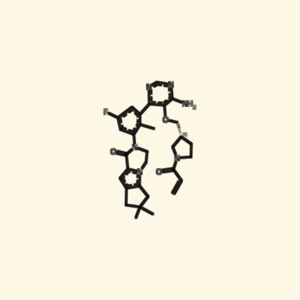 C=CC(=O)N1CC[C@@H](COc2c(N)ncnc2-c2cc(F)cc(N3CCn4c(cc5c4CC(C)(C)C5)C3=O)c2C)C1